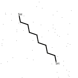 SCCCCCCC[CH2][Sn]